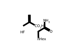 C=C(C)C(=O)O.CCCCCCCC(N)=O.F